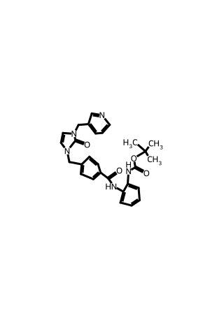 CC(C)(C)OC(=O)Nc1ccccc1NC(=O)c1ccc(Cn2ccn(Cc3cccnc3)c2=O)cc1